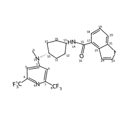 CN(c1cc(C(F)(F)F)nc(C(F)(F)F)c1)[C@H]1CC[C@@H](NC(=O)c2cccc3[nH]ccc23)CC1